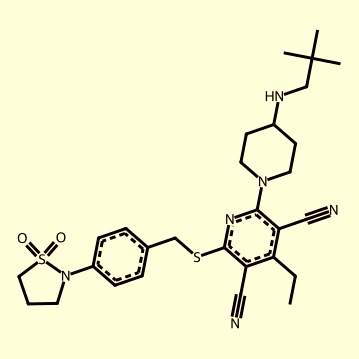 CCc1c(C#N)c(SCc2ccc(N3CCCS3(=O)=O)cc2)nc(N2CCC(NCC(C)(C)C)CC2)c1C#N